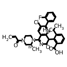 C=CC(=O)N1CCN(C2=NC(=O)C(c3c(C(=O)O)cccc3C(C)C)c3nc(-c4ccccc4F)c(Cl)cc32)[C@@H](C)C1